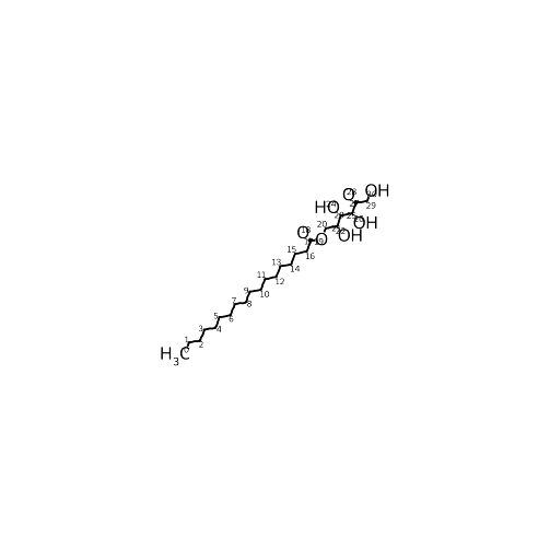 CCCCCCCCCCCCCCCCCC(=O)OC[C@@H](O)[C@@H](O)[C@H](O)C(=O)CO